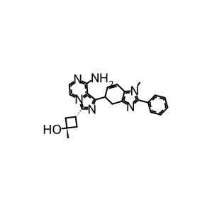 Cn1c(-c2ccccc2)nc2c1C=CC(c1nc([C@H]3C[C@@](C)(O)C3)n3ccnc(N)c13)C2